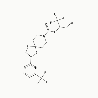 O=C(OC(CO)C(F)(F)F)N1CCC2(CC1)CC(c1cccc(C(F)(F)F)n1)CO2